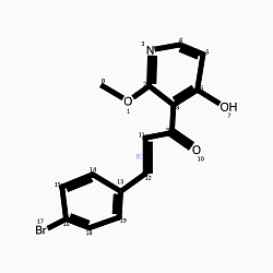 COc1nccc(O)c1C(=O)/C=C/c1ccc(Br)cc1